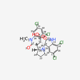 CN(C(=O)[C@@H]1C(C(=O)O)[C@@]2(C(=O)Nc3c(Cl)cc(Cl)cc32)N2CCC[C@H]12)c1cc(Cl)cc(Cl)c1